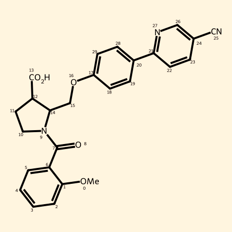 COc1ccccc1C(=O)N1CCC(C(=O)O)C1COc1ccc(-c2ccc(C#N)cn2)cc1